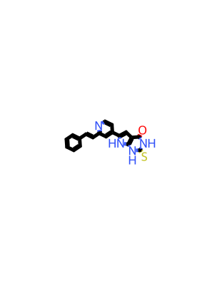 O=c1[nH]c(=S)[nH]c2[nH]c(-c3ccnc(C=Cc4ccccc4)c3)cc12